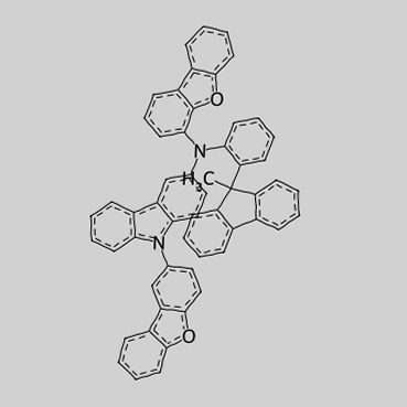 CC1(c2ccccc2N(c2ccc3c(c2)c2ccccc2n3-c2ccc3oc4ccccc4c3c2)c2cccc3c2oc2ccccc23)c2ccccc2-c2ccccc21